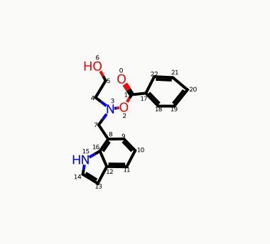 O=C(ON(CCO)Cc1cccc2cc[nH]c12)c1ccccc1